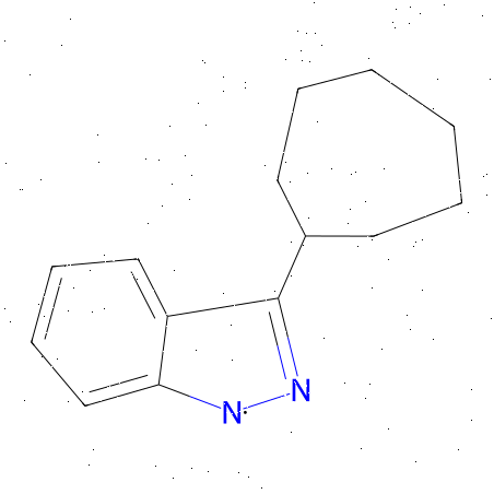 c1ccc2c(c1)[N]N=C2C1CCCCCC1